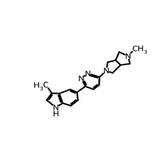 Cc1c[nH]c2ccc(-c3ccc(N4CC5CN(C)CC5C4)nn3)cc12